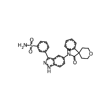 NS(=O)(=O)c1cccc(-c2n[nH]c3ccc(NC(=O)C4(c5ccccc5)CCOCC4)cc23)c1